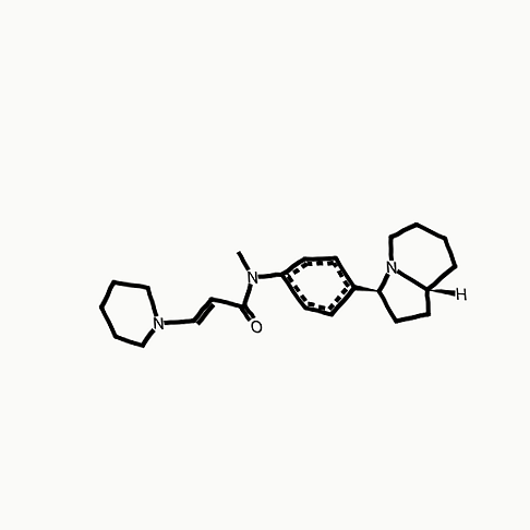 CN(C(=O)C=CN1CCCCC1)c1ccc([C@@H]2CC[C@H]3CCCCN32)cc1